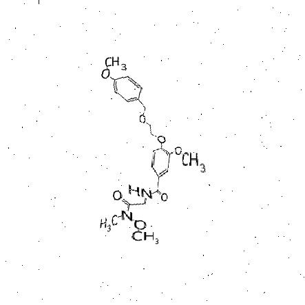 COc1ccc(COCCOc2ccc(C(=O)NCC(=O)N(C)OC)cc2OC)cc1